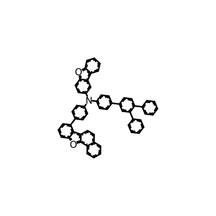 c1ccc(-c2ccc(-c3ccc(N(c4ccc(-c5cccc6oc7c8ccccc8ccc7c56)cc4)c4ccc5oc6ccccc6c5c4)cc3)cc2-c2ccccc2)cc1